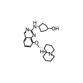 O[C@H]1CC[C@H](Nc2ncc3cccc(OC[C@@H]4CCCN5CCCC[C@H]45)c3n2)CC1